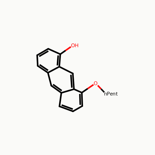 CCCCCOc1cccc2cc3cccc(O)c3cc12